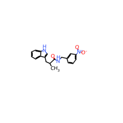 CC(Cc1c[nH]c2ccccc12)C(=O)NCc1cccc([N+](=O)[O-])c1